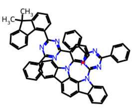 CC1(C)c2ccccc2-c2c(-c3nc(-c4ccccc4)nc(-c4ccccc4-n4c5ccccc5c5ccc6c7ccccc7n(-c7nc(-c8ccccc8)nc(-c8ccccc8)n7)c6c54)n3)cccc21